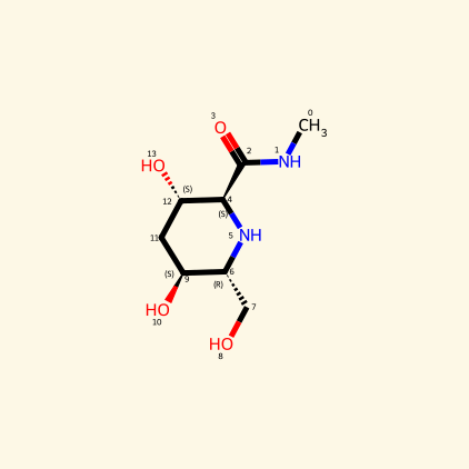 CNC(=O)[C@H]1N[C@H](CO)[C@@H](O)C[C@@H]1O